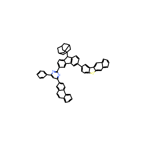 c1ccc(-c2cc(-c3ccc4c(ccc5ccccc54)c3)nc(-c3ccc4c(c3)-c3cc(-c5ccc6sc7cc8ccccc8cc7c6c5)ccc3C4C34CC5CC(CC(C5)C3)C4)n2)cc1